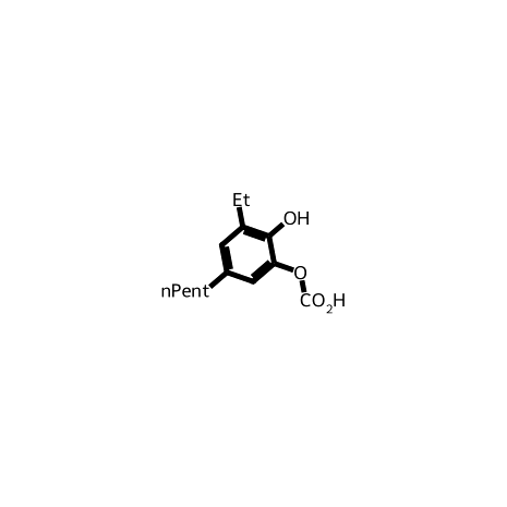 CCCCCc1cc(CC)c(O)c(OC(=O)O)c1